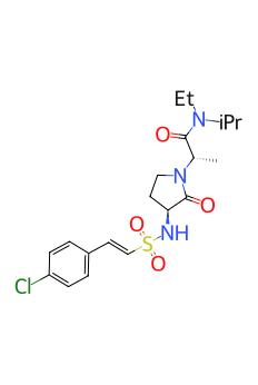 CCN(C(=O)[C@H](C)N1CC[C@H](NS(=O)(=O)C=Cc2ccc(Cl)cc2)C1=O)C(C)C